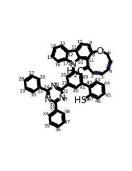 C=C1/C=C\C=C/COc2ccc3c4ccccc4n(-c4cc(-c5nc(-c6ccccc6)nc(-c6ccccc6)n5)cc(-c5ccccc5S)c4)c3c21